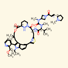 CCn1c(-c2cccnc2[C@H](C)OC)c2c3cc(ccc31)-c1csc(n1)C[C@H](NC(=O)[C@H](C(C)C)N(C)C(=O)N(C)C1CN(C(=O)/C=C/[C@@H]3CCCN3C)C1)C(=O)N1CCC[C@@]([SiH3])(N1)C(=O)OCC(C)(C)C2